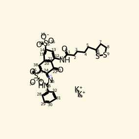 O=C(CCCCC1CCSS1)Nc1cc(S(=O)(=O)[O-])cc2c1C(=O)/C(=N/Nc1ccccc1)C(S(=O)(=O)[O-])=C2.[K+].[K+]